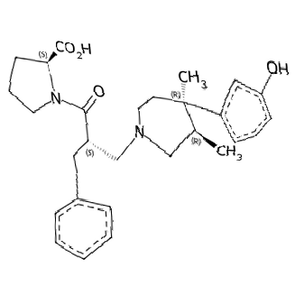 C[C@H]1CN(C[C@H](Cc2ccccc2)C(=O)N2CCC[C@H]2C(=O)O)CC[C@@]1(C)c1cccc(O)c1